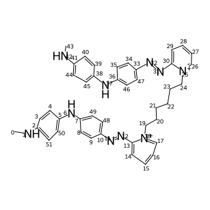 CNc1ccc(Nc2ccc(/N=N/c3cccc[n+]3CCCCCC[n+]3ccccc3/N=N/c3ccc(Nc4ccc(NC)cc4)cc3)cc2)cc1